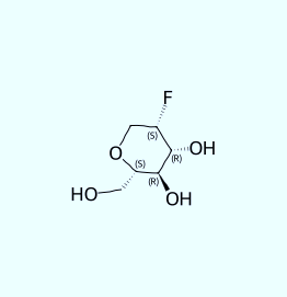 OC[C@@H]1OC[C@H](F)[C@H](O)[C@H]1O